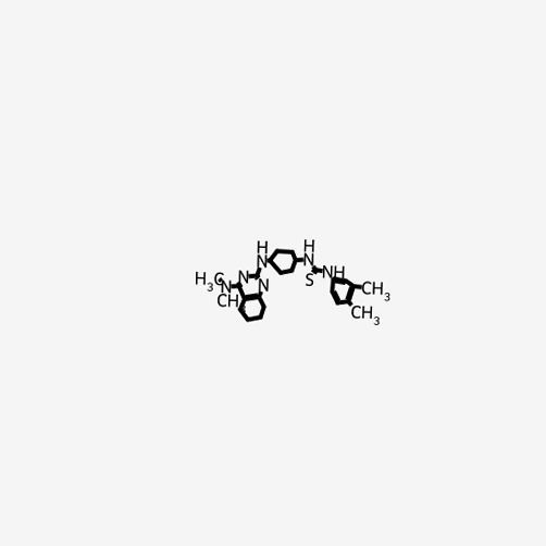 Cc1ccc(NC(=S)NC2CCC(Nc3nc4c(c(N(C)C)n3)CCCC4)CC2)cc1C